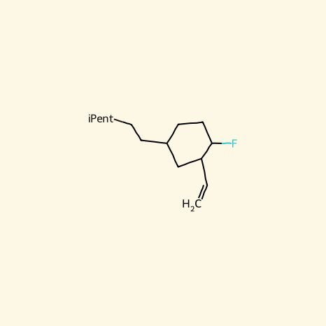 C=CC1CC(CCC(C)CCC)CCC1F